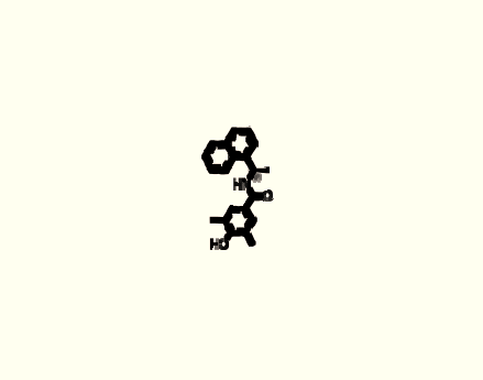 Cc1cc(C(=O)N[C@H](C)c2cccc3ccccc23)cc(C)c1O